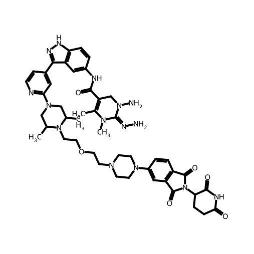 CC1=C(C(=O)Nc2ccc3[nH]nc(-c4ccnc(N5CC(C)N(CCOCCN6CCN(c7ccc8c(c7)C(=O)N(C7CCC(=O)NC7=O)C8=O)CC6)C(C)C5)c4)c3c2)CN(N)/C(=N\N)N1C